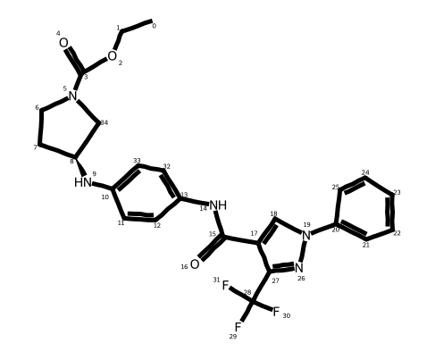 CCOC(=O)N1CC[C@H](Nc2ccc(NC(=O)c3cn(-c4ccccc4)nc3C(F)(F)F)cc2)C1